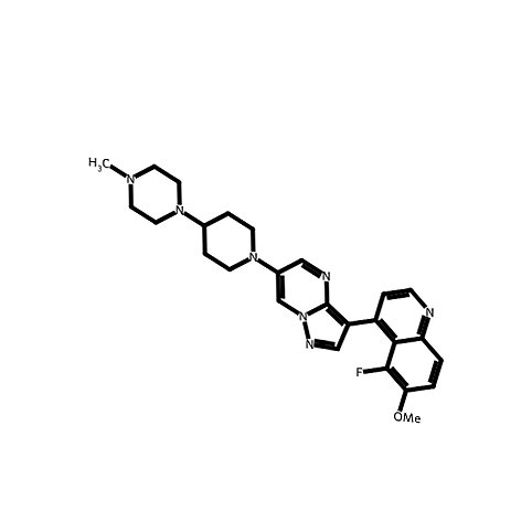 COc1ccc2nccc(-c3cnn4cc(N5CCC(N6CCN(C)CC6)CC5)cnc34)c2c1F